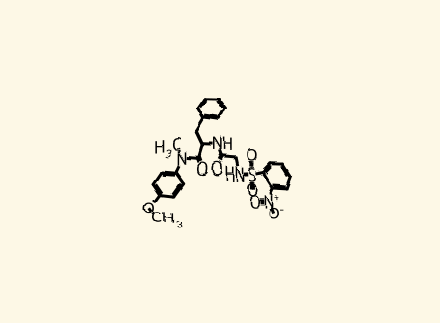 COc1ccc(N(C)C(=O)C(Cc2ccccc2)NC(=O)CNS(=O)(=O)c2ccccc2[N+](=O)[O-])cc1